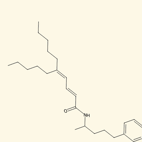 CCCCCC(=C/C=C/C(=O)NC(C)CCCc1cccnc1)CCCCC